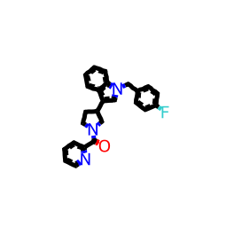 O=C(c1ccccn1)N1CCC(c2cn(Cc3ccc(F)cc3)c3ccccc23)C1